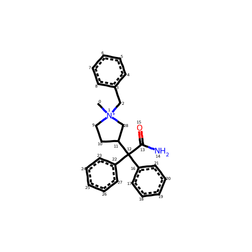 C[N+]1(Cc2ccccc2)CCC(C(C(N)=O)(c2ccccc2)c2ccccc2)C1